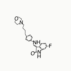 O=C1Nc2cc(F)ccc2/C1=C\Nc1ccc(CCCCN2CCOCC2)cc1